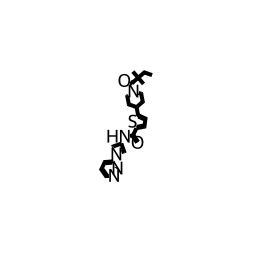 CCC(C)(C)C(=O)N1CCC(c2ccc(C(=O)NC3CN(c4cccnn4)C3)s2)CC1